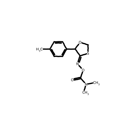 Cc1ccc(C2OCSC2=NOC(=O)N(C)C)cc1